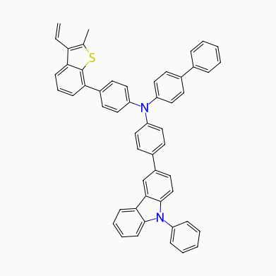 C=Cc1c(C)sc2c(-c3ccc(N(c4ccc(-c5ccccc5)cc4)c4ccc(-c5ccc6c(c5)c5ccccc5n6-c5ccccc5)cc4)cc3)cccc12